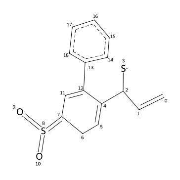 C=CC([S])C1=CCC(=S(=O)=O)C=C1c1ccccc1